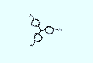 CC(=O)c1ccc(C(c2ccc(C(C)=O)cc2)c2ccc(C(C)=O)cc2)cc1